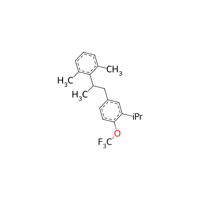 Cc1cccc(C)c1C(C)Cc1ccc(OC(F)(F)F)c(C(C)C)c1